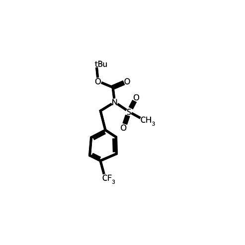 CC(C)(C)OC(=O)N(Cc1ccc(C(F)(F)F)cc1)S(C)(=O)=O